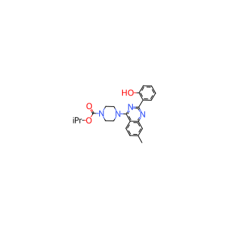 Cc1ccc2c(N3CCN(C(=O)OC(C)C)CC3)nc(-c3ccccc3O)nc2c1